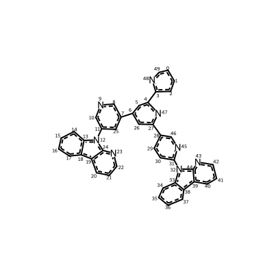 c1ccc(-c2cc(-c3cncc(-n4c5ccccc5c5cccnc54)c3)cc(-c3ccc(-n4c5ccccc5c5cccnc54)nc3)n2)nc1